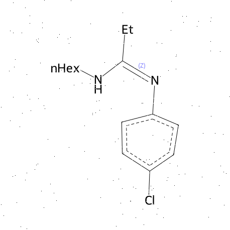 CCCCCCN/C(CC)=N\c1ccc(Cl)cc1